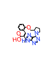 CCC(=Cc1ccccc1OCC1CCCN1c1ncnc2[nH]cnc12)C(=O)O